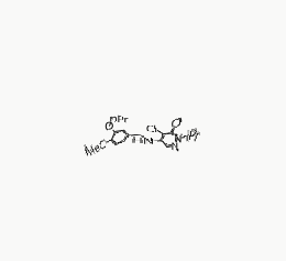 CCCOc1cc(CNc2cnn(C(C)C)c(=O)c2Cl)ccc1OC